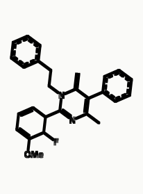 C=C1C(c2ccccc2)=C(C)N=C(C2C=CC=C(OC)C2F)N1CCc1ccccc1